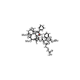 CO[C@H]1C(=O)[C@@]2(C)C([C@H](OC(=O)c3ccccc3)[C@]3(O)C[C@H](OC(=O)[C@H](OC(=O)CSCC(=O)C(C)C)[C@@H](NC(=O)OC(C)(C)C)c4ccccc4)C(C)=C1C3(C)C)[C@]1(OC(C)=O)COC1C[C@@H]2OC